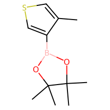 Cc1cscc1B1OC(C)(C)C(C)(C)O1